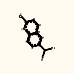 FC(F)c1ccc2nc(Cl)ccc2c1